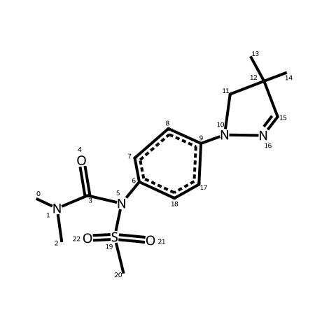 CN(C)C(=O)N(c1ccc(N2CC(C)(C)C=N2)cc1)S(C)(=O)=O